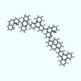 c1cnc2c(c1)ccc1ccc(-c3c4ccccc4c(-c4ccc5c6ccc(-c7cc8cccnc8c8nc(-c9ccc%10ccc%11c(-c%12ccc%13c%14ccccc%14c%14ccccc%14c%13c%12)ccc%12ccc9c%10c%12%11)ccc78)cc6c6ccccc6c5c4)c4ccccc34)nc12